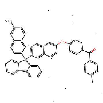 COc1ccc2cc(C3(c4ccc5cc(Oc6ccc(C(=O)c7ccc(C)cc7)cc6)ccc5c4)c4ccccc4-c4ccccc43)ccc2c1